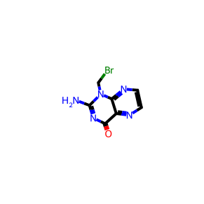 Nc1nc(=O)c2nccnc2n1CBr